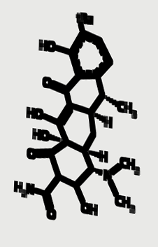 C[C@H]1c2ccc(C(C)(C)C)c(O)c2C(=O)C2=C(O)[C@]3(O)C(=O)C(C(N)=O)C(O)[C@@H](N(C)C)[C@@H]3C[C@@H]21